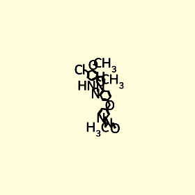 COc1cc(OC)c(Nc2nc3cc(Oc4ccnc(N(C)C=O)c4)ccc3[nH]2)cc1Cl